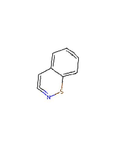 C1=Cc2ccccc2SN=1